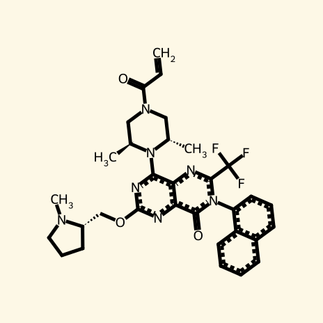 C=CC(=O)N1C[C@H](C)N(c2nc(OC[C@@H]3CCCN3C)nc3c(=O)n(-c4cccc5ccccc45)c(C(F)(F)F)nc23)[C@@H](C)C1